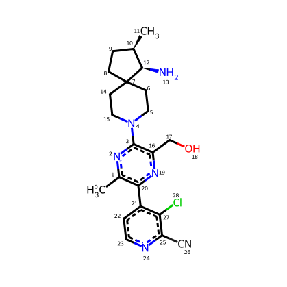 Cc1nc(N2CCC3(CC[C@@H](C)[C@H]3N)CC2)c(CO)nc1-c1ccnc(C#N)c1Cl